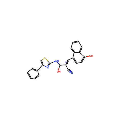 N#C/C(=C\c1ccc(O)c2ccccc12)C(O)Nc1nc(-c2ccccc2)cs1